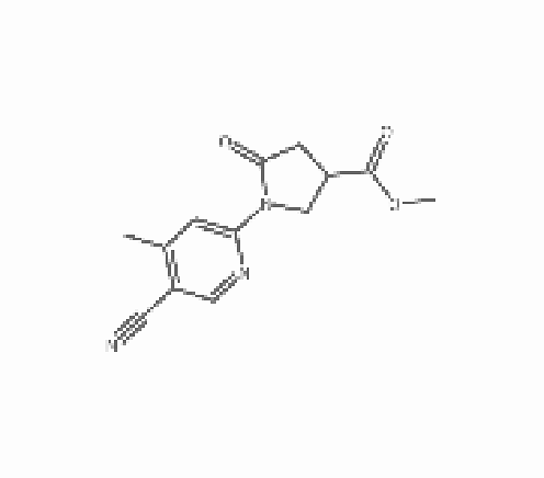 COC(=O)C1CC(=O)N(c2cc(C)c(C#N)cn2)C1